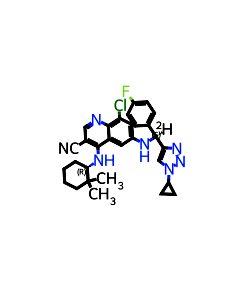 [2H][C@](Nc1cc(Cl)c2ncc(C#N)c(N[C@@H]3CCCCC3(C)C)c2c1)(c1ccc(F)cc1)c1cn(C2CC2)nn1